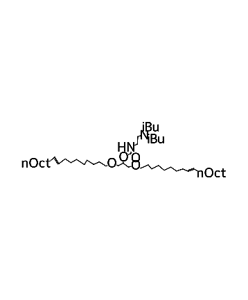 CCCCCCCCC=CCCCCCCCCOCC(COCCCCCCCCC=CCCCCCCCC)OC(=O)NCCN(C(C)CC)C(C)CC